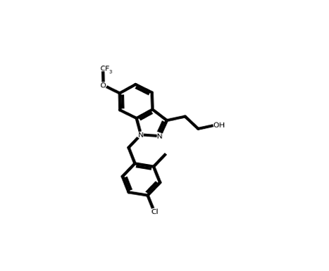 Cc1cc(Cl)ccc1Cn1nc(CCO)c2ccc(OC(F)(F)F)cc21